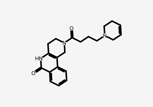 O=C(CCCN1CC=CCC1)N1CCc2[nH]c(=O)c3ccccc3c2C1